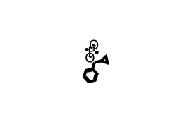 CP(C)(=O)OC(c1ccccc1)C1CC1